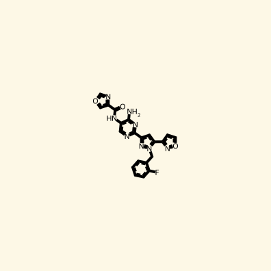 Nc1nc(-c2cc(-c3ccon3)n(Cc3ccccc3F)n2)ncc1NC(=O)c1cocn1